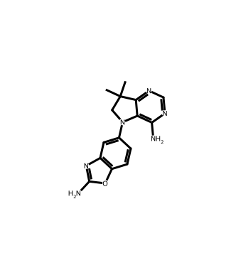 CC1(C)CN(c2ccc3oc(N)nc3c2)c2c(N)ncnc21